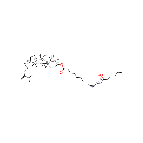 C=C(CC[C@@H](C)[C@H]1CC[C@@]2(C)[C@@H]3CC[C@H]4C(C)(C)[C@@H](OC(=O)CCCCCCC/C=C\C=C\[C@@H](O)CCCCC)CC[C@@]45C[C@@]35CC[C@]12C)C(C)C